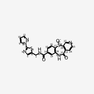 O=C(NCc1cnc(-n2cccn2)s1)c1ccc2c(c1)NC(=O)c1ccncc1[S+]2[O-]